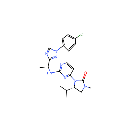 CC(C)[C@H]1CN(C)C(=O)N1c1ccnc(N[C@@H](C)c2ncn(-c3ccc(Cl)cc3)n2)n1